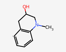 CN1CC(O)Cc2[c]cccc21